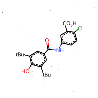 CC(C)(C)c1cc(C(=O)Nc2ccc(Cl)c(C(=O)O)c2)cc(C(C)(C)C)c1O